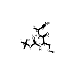 CSCC(NC(=O)OC(C)(C)C)C(=O)NC(C)C#N